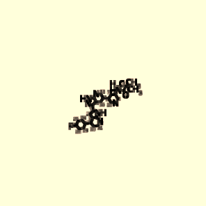 CC(C)(C)C(=O)Nc1cncc(-c2cnc3[nH]nc(-c4cc5c(-c6ccc(F)cc6)ccnc5[nH]4)c3c2)c1